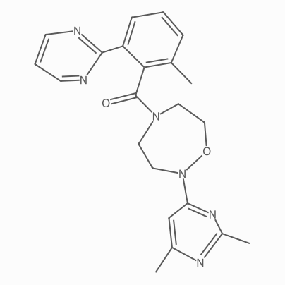 Cc1cc(N2CCN(C(=O)c3c(C)cccc3-c3ncccn3)CCO2)nc(C)n1